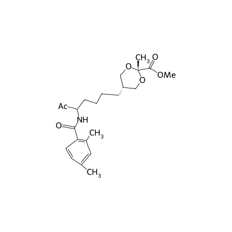 COC(=O)[C@]1(C)OC[C@H](CCCCC(NC(=O)c2ccc(C)cc2C)C(C)=O)CO1